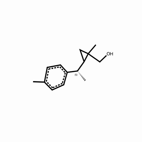 Cc1ccc([C@@H](C)C2CC2(C)CO)cc1